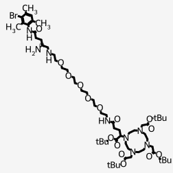 Cc1cc(C)c(NC(=O)CC[C@@H](N)CNCCOCCOCCOCCOCCOCCNC(=O)CCC(C(=O)OC(C)(C)C)N2CCN(CC(=O)OC(C)(C)C)CCN(CC(=O)OC(C)(C)C)CCN(CC(=O)OC(C)(C)C)CC2)c(C)c1Br